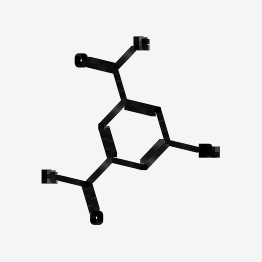 CCC(=O)c1cc(C(=O)CC)cc(C(C)CC)c1